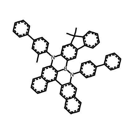 Cc1cc(-c2ccccc2)ccc1N1c2cc3c(cc2B2c4c1cc1ccccc1c4-c1cc4ccccc4cc1N2c1ccc(-c2ccccc2)cc1)-c1ccccc1C3(C)C